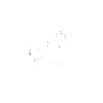 COc1ccc([C@@H](C)[C@H](C)COc2nc(C)ncc2C(N)=O)nc1